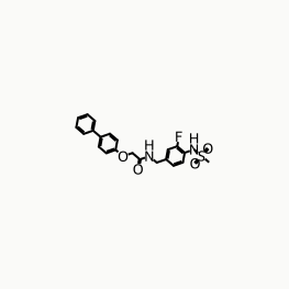 CS(=O)(=O)Nc1ccc(CNC(=O)COc2ccc(-c3ccccc3)cc2)cc1F